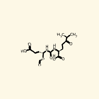 CC(C)C(=O)CC[C@H](NC(=O)N[C@@H](CCC(=O)O)OC=O)C(=O)O